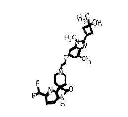 Cn1c(C2CC(C)(O)C2)nc2c(C(F)(F)F)cc(OCCN3CCC4(CC3)C(=O)Nc3ccc(C(F)F)nc34)cc21